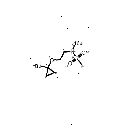 CC(C)(C)N(CCOC1(C(C)(C)C)CC1)S(C)(=O)=O